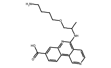 CC(COCCCCN)Nc1nc2cc(C(=O)O)ccc2c2cnccc12